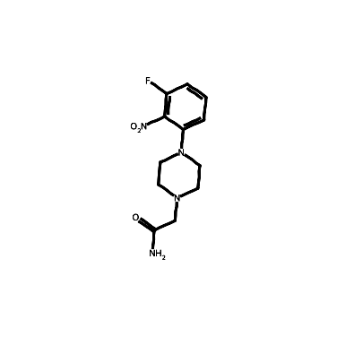 NC(=O)CN1CCN(c2cccc(F)c2[N+](=O)[O-])CC1